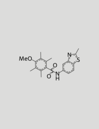 COc1c(C)c(C)c(S(=O)(=O)Nc2ccc3sc(C)nc3c2)c(C)c1C